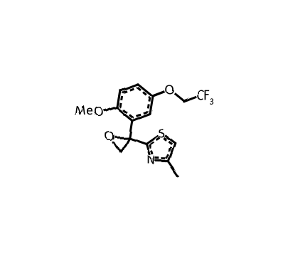 COc1ccc(OCC(F)(F)F)cc1C1(c2nc(C)cs2)CO1